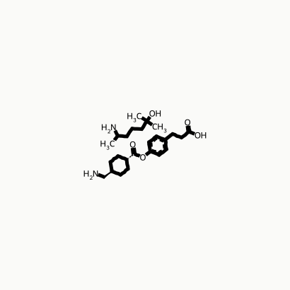 CC(N)CCCC(C)(C)O.NC[C@H]1CC[C@H](C(=O)Oc2ccc(CCC(=O)O)cc2)CC1